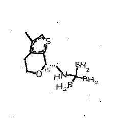 BC(B)(B)NC[C@@H]1OCCc2c(C)csc21